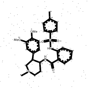 COc1ccc(C2CN(C)CCC2NC(=O)c2ccccc2NS(=O)(=O)c2ccc(C)cc2)cc1OC